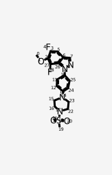 COc1c(F)cc2cnn(-c3ccc(N4CCN(S(C)(=O)=O)CC4)cc3)c2c1F